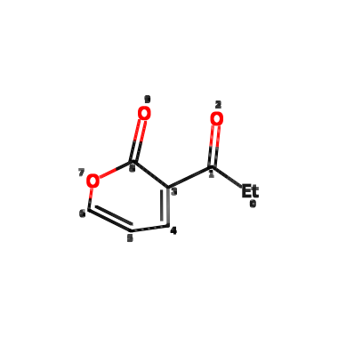 CCC(=O)c1cccoc1=O